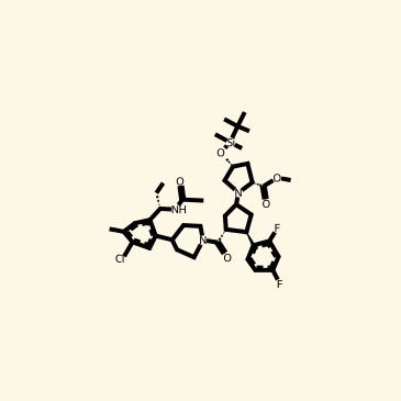 CC[C@H](NC(C)=O)c1cc(C)c(Cl)cc1C1CCN(C(=O)[C@@H]2CC(N3C[C@H](O[Si](C)(C)C(C)(C)C)C[C@@H]3C(=O)OC)C[C@H]2c2ccc(F)cc2F)CC1